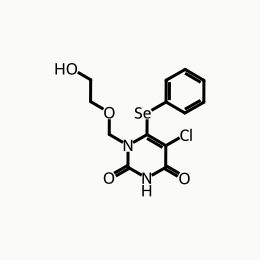 O=c1[nH]c(=O)n(COCCO)c([Se]c2ccccc2)c1Cl